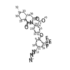 COC(=O)c1cc(Oc2ccc(CN=[N+]=[N-])cc2C(F)(F)F)ccc1N(C(=O)[C@H]1CC[C@H](C)CC1)C(C)C